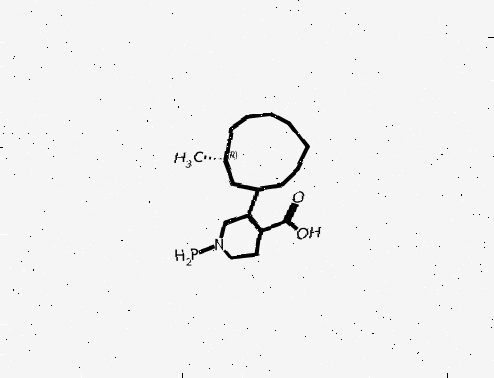 C[C@@H]1CCCCCCCC(C2CN(P)CCC2C(=O)O)C1